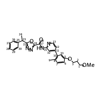 COCCCOc1ccc(C)c(-c2ccnc(NC(=O)c3nnc(C(C)c4ccccc4)o3)c2)c1